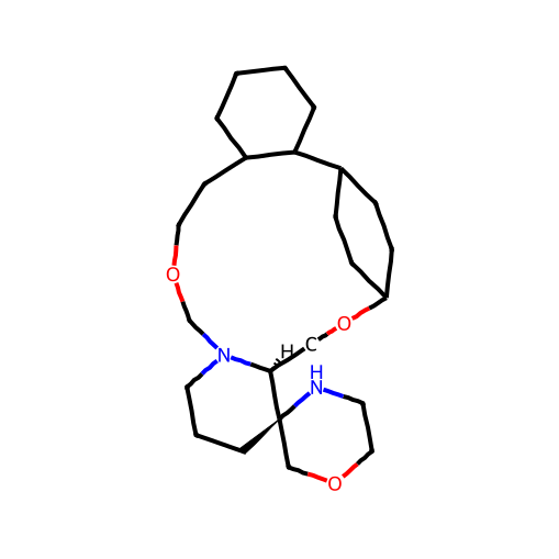 C1CCC2C(C1)CCOCN1CCC[C@@]3(COCCN3)[C@@H]1COC1CCC2CC1